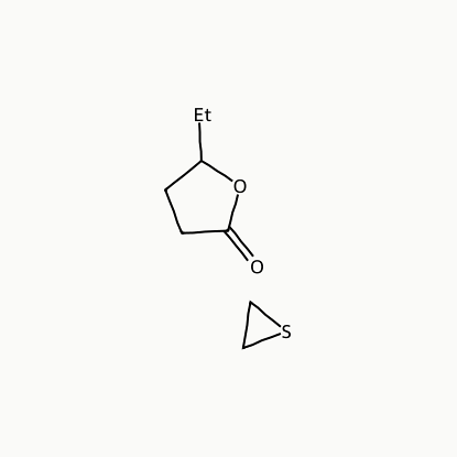 C1CS1.CCC1CCC(=O)O1